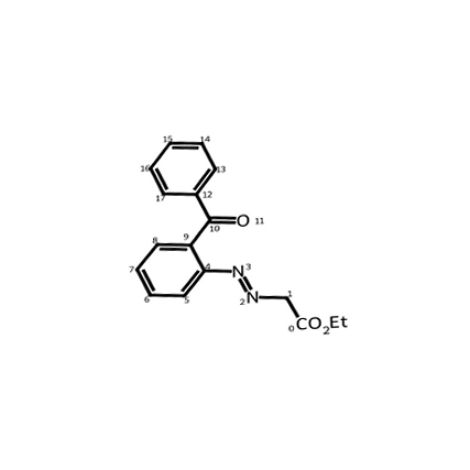 CCOC(=O)CN=Nc1ccccc1C(=O)c1ccccc1